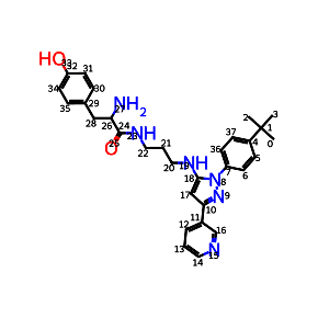 CC(C)(C)c1ccc(-n2nc(-c3cccnc3)cc2NCCCNC(=O)C(N)Cc2ccc(O)cc2)cc1